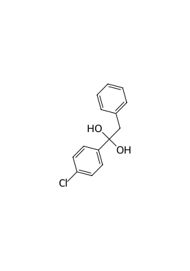 OC(O)(Cc1ccccc1)c1ccc(Cl)cc1